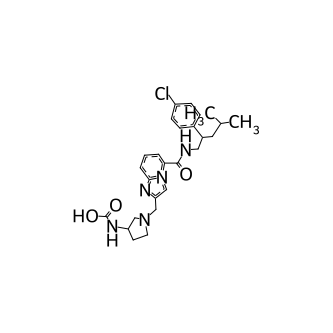 CC(C)CC(CNC(=O)c1cccc2nc(CN3CCC(NC(=O)O)C3)cn12)c1ccc(Cl)cc1